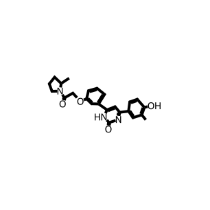 Cc1cc(-c2cc(-c3cccc(OCC(=O)N4CCCC4C)c3)[nH]c(=O)n2)ccc1O